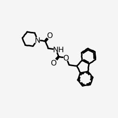 O=C(NCC(=O)N1CCCCC1)OCC1C2=C(C=C=C=C2)c2ccccc21